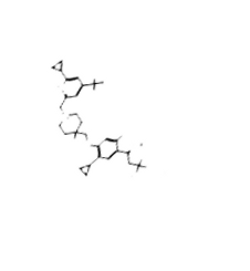 CC(C)(C)CC(=O)c1cc(C2CC2)c(OCC2(F)CCN(Cc3cc(C(F)(F)F)cc(C4CC4)n3)CC2)cc1F